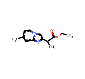 CCOC(=O)C(C)c1cn2ccc(C)cc2n1